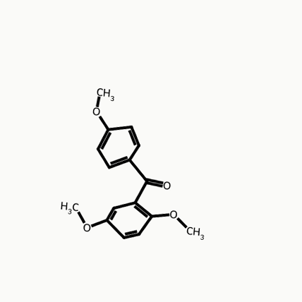 COc1ccc(C(=O)c2cc(OC)ccc2OC)cc1